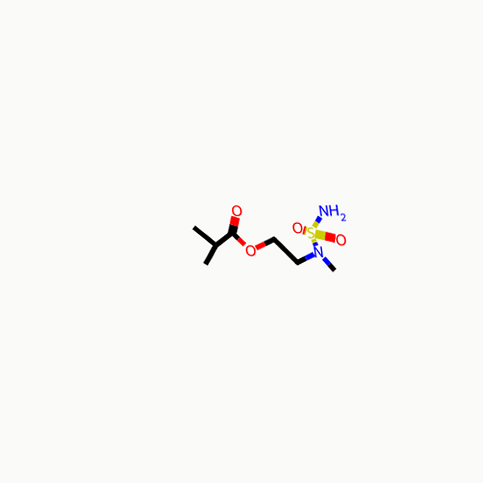 CC(C)C(=O)OCCN(C)S(N)(=O)=O